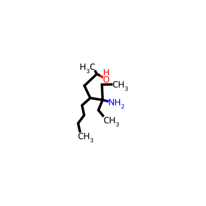 CCCCC(CC(C)O)C(N)(CC)CC